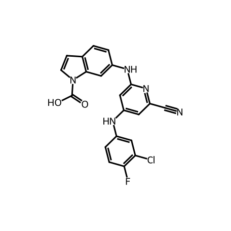 N#Cc1cc(Nc2ccc(F)c(Cl)c2)cc(Nc2ccc3ccn(C(=O)O)c3c2)n1